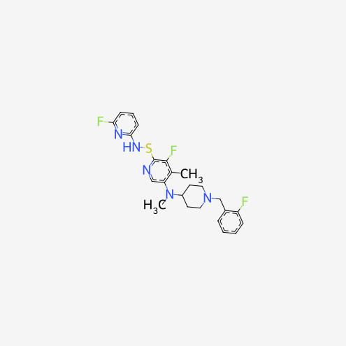 Cc1c(N(C)C2CCN(Cc3ccccc3F)CC2)cnc(SNc2cccc(F)n2)c1F